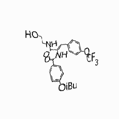 CC(C)COc1ccc(C(=O)N/C(=C\c2ccc(OC(F)(F)F)cc2)C(=O)NCCO)cc1